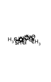 CCS(=O)(=O)CN1CCN(c2ccc(C(C)S)cc2Cl)CC1